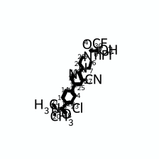 CCCC(O)(C(=O)N1CCN(c2ncc(-c3ccc(C(=O)N(C)C)c(Cl)c3)cc2C#N)CC1)C(F)(F)F